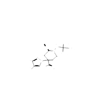 CC(C)(C)ON1CCC(C(=O)O)(n2cc(Br)cn2)CC1=C=O